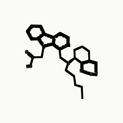 CCCCCN(Cc1nccc2c3ccccc3n(CC(=O)O)c12)[C@H]1CCCc2cccnc21